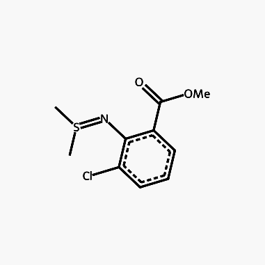 COC(=O)c1cccc(Cl)c1N=S(C)C